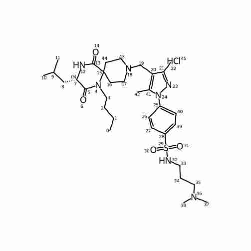 CCCCN1C(=O)[C@H](CC(C)C)NC(=O)C12CCN(Cc1c(C)nn(-c3ccc(S(=O)(=O)NCCCN(C)C)cc3)c1C)CC2.Cl